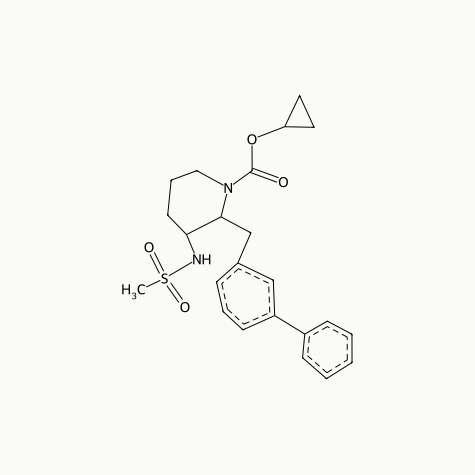 CS(=O)(=O)NC1CCCN(C(=O)OC2CC2)C1Cc1cccc(-c2ccccc2)c1